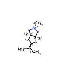 CC(C)=C1C[C@@H]2CN(C)C[C@@H]2C1